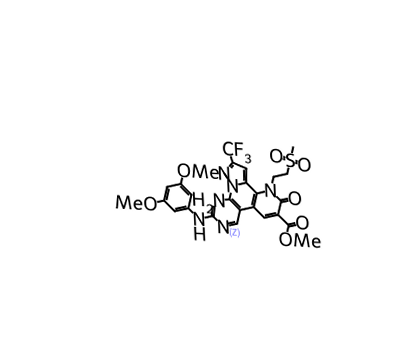 C=C(/N=C\c1c(N)n2nc(C(F)(F)F)cc2c2c1cc(C(=O)OC)c(=O)n2CCS(C)(=O)=O)Nc1cc(OC)cc(OC)c1